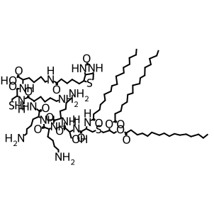 CCCCCCCCCCCCCCCC(=O)NC(CSCC(COC(=O)CCCCCCCCCCCCCCC)OC(=O)CCCCCCCCCCCCCCC)C(=O)NC(CO)C(=O)NC(CCCCN)C(=O)NC(CCCCN)C(=O)NC(CCCCN)C(=O)NC(CCCCN)C(=O)NC(CS)C(=O)NC(CCCCNC(=O)CCCCC1SCC2NC(=O)NC21)C(=O)O